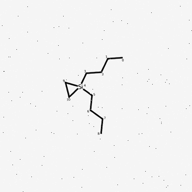 CCCC[Si]1(CCCC)CC1